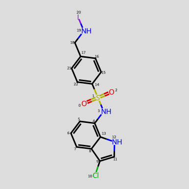 O=S(=O)(Nc1cccc2c(Cl)c[nH]c12)c1ccc(CNI)cc1